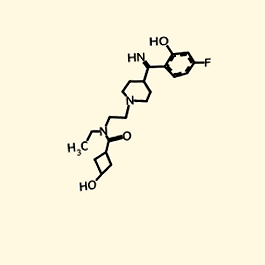 CCN(CCN1CCC(C(=N)c2ccc(F)cc2O)CC1)C(=O)C1CC(O)C1